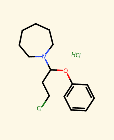 Cl.ClCCC(Oc1ccccc1)N1CCCCCC1